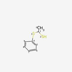 CC(S)Sc1ccccc1